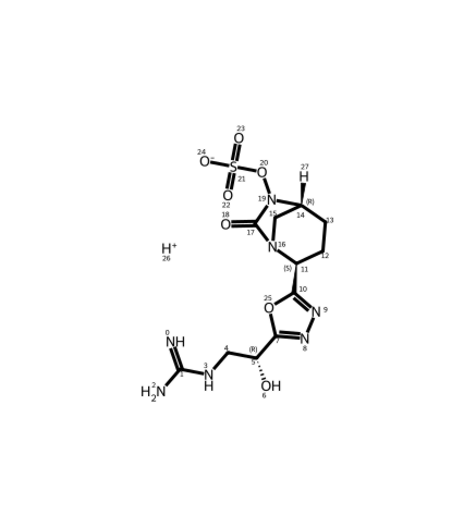 N=C(N)NC[C@@H](O)c1nnc([C@@H]2CC[C@@H]3CN2C(=O)N3OS(=O)(=O)[O-])o1.[H+]